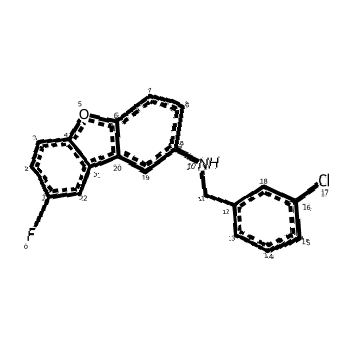 Fc1ccc2oc3ccc(NCc4cccc(Cl)c4)cc3c2c1